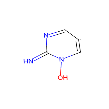 N=c1nc[c]cn1O